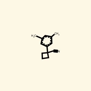 Cc1cc(C)cc(C2(C#N)CCC2)c1